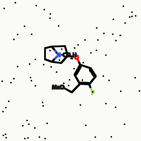 COCc1cc(OC2CC3CCC(C2)N3C(=O)O)ccc1F